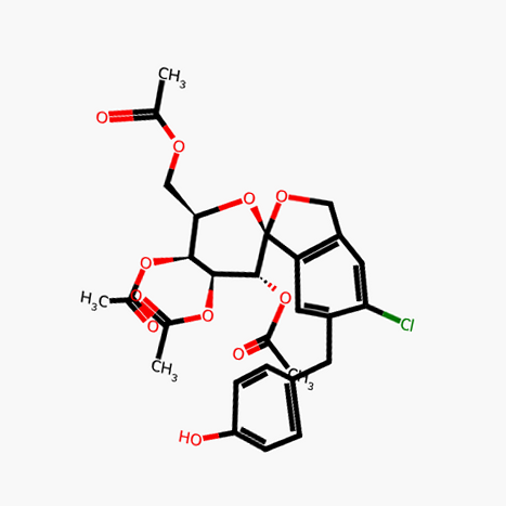 CC(=O)OC[C@H]1O[C@]2(OCc3cc(Cl)c(Cc4ccc(O)cc4)cc32)[C@H](OC(C)=O)[C@@H](OC(C)=O)[C@H]1OC(C)=O